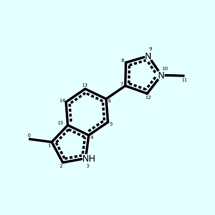 Cc1c[nH]c2cc(-c3cnn(C)c3)ccc12